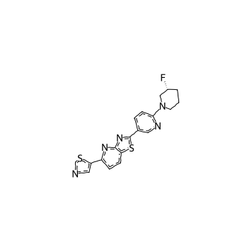 F[C@@H]1CCCN(c2ccc(-c3nc4nc(-c5cncs5)ccc4s3)cn2)C1